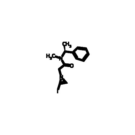 C[C@H](c1ccccc1)N(C)C(=O)CN1C=C1I